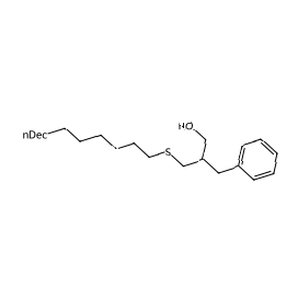 CCCCCCCCCCCCCCCCSCC(CO)Cc1ccccc1